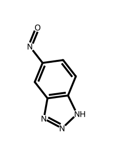 O=Nc1ccc2[nH]nnc2c1